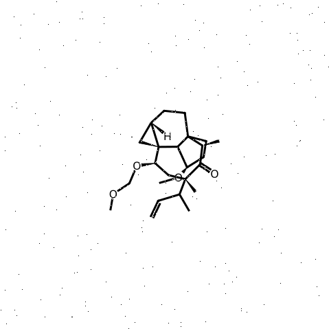 C=CC(C)[C@]1(C)C[C@@H](OCOC)[C@]23C[C@@H]2CCC2(CC[C@@H](OC)C23)[C@@H](C)C1=O